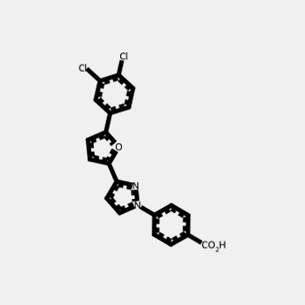 O=C(O)c1ccc(-n2ccc(-c3ccc(-c4ccc(Cl)c(Cl)c4)o3)n2)cc1